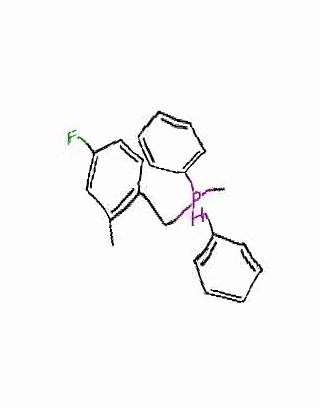 Cc1cc(F)ccc1C[PH](C)(c1ccccc1)c1ccccc1